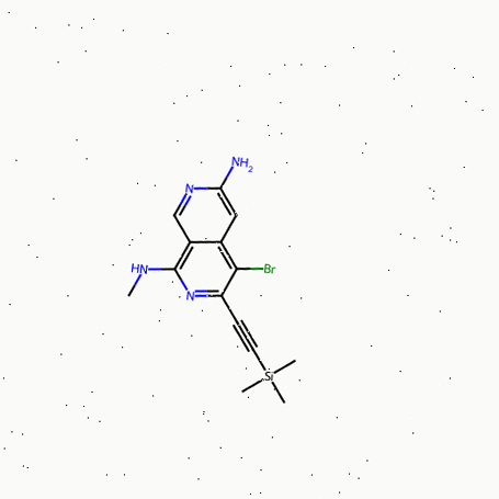 CNc1nc(C#C[Si](C)(C)C)c(Br)c2cc(N)ncc12